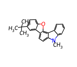 Cn1c2ccccc2c2c3oc4ccc(C(C)(C)C)cc4c3ccc21